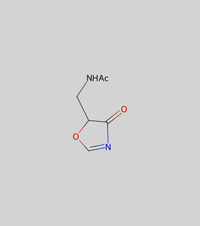 CC(=O)NCC1OC=NC1=O